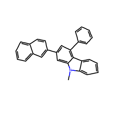 Cn1c2ccccc2c2c(-c3ccccc3)cc(-c3ccc4ccccc4c3)cc21